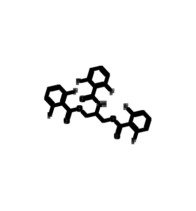 O=C(NC(COC(=O)c1c(F)cccc1F)COC(=O)c1c(F)cccc1F)c1c(F)cccc1F